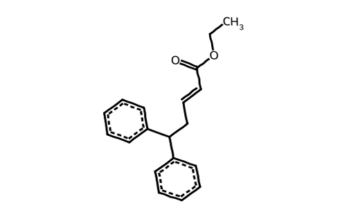 CCOC(=O)/C=C/CC(c1ccccc1)c1ccccc1